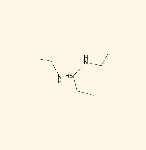 CCN[SiH](CC)NCC